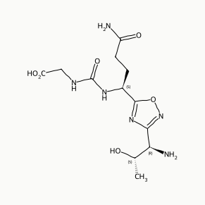 C[C@H](O)[C@H](N)c1noc([C@H](CCC(N)=O)NC(=O)NCC(=O)O)n1